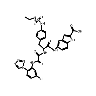 CCNS(=O)(=O)Nc1ccc(CC(NC(=O)C(=O)Nc2cc(Cl)ccc2-n2cnnn2)C(=O)Nc2ccc3[nH]c(C(=O)O)cc3c2)cc1